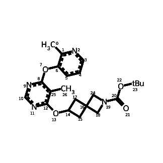 Cc1ncccc1Oc1ncnc(OC2CC3(C2)CN(C(=O)OC(C)(C)C)C3)c1C